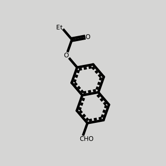 CCC(=O)Oc1ccc2ccc(C=O)cc2c1